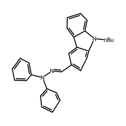 CCCCn1c2ccccc2c2cc(C=NN(c3ccccc3)c3ccccc3)ccc21